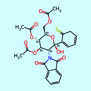 CC(=O)OC[C@H]1O[C@](O)(C2=CC=CCC2=S)[C@H](N2C(=O)c3ccccc3C2=O)[C@@H](OC(C)=O)[C@@H]1OC(C)=O